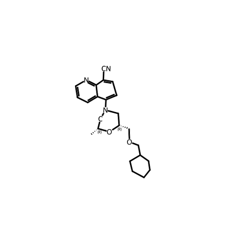 C[C@@H]1CN(c2ccc(C#N)c3ncccc23)C[C@H](COCC2CCCCC2)O1